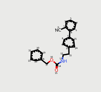 N#Cc1ccccc1-c1ccc(CCNC(=O)OCc2ccccc2)cc1